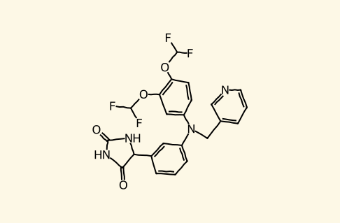 O=C1NC(=O)C(c2cccc(N(Cc3cccnc3)c3ccc(OC(F)F)c(OC(F)F)c3)c2)N1